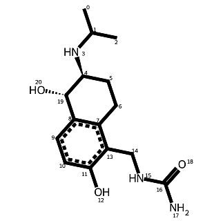 CC(C)N[C@H]1CCc2c(ccc(O)c2CNC(N)=O)[C@@H]1O